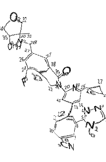 Cn1cnnc1-c1cc(C#N)ccc1-c1cc(C2CC2)nc(N2Cc3c(F)cc(CNC4(C)COCC4O)cc3C2=O)c1